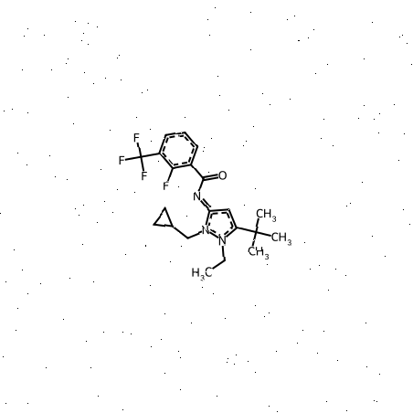 CCn1c(C(C)(C)C)c/c(=N\C(=O)c2cccc(C(F)(F)F)c2F)n1CC1CC1